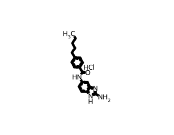 CCCCCc1ccc(C(=O)Nc2ccc3[nH]c(N)nc3c2)cc1.Cl